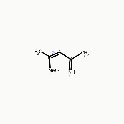 CN/C(=C\C(C)=N)C(F)(F)F